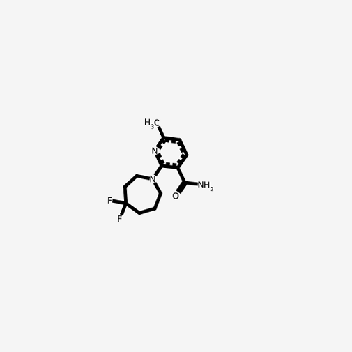 Cc1ccc(C(N)=O)c(N2CCCC(F)(F)CC2)n1